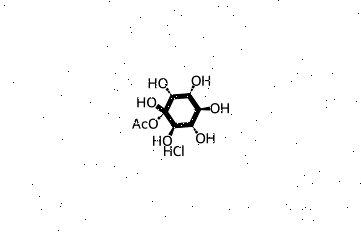 CC(=O)O[C@]1(O)[C@H](O)[C@H](O)[C@@H](O)[C@H](O)[C@H]1O.Cl